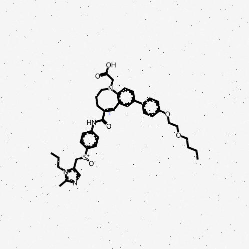 CCCCOCCOc1ccc(-c2ccc3c(c2)/C=C(/C(=O)Nc2ccc([S+]([O-])Cc4cnc(C)n4CCC)cc2)CCCN3CC(=O)O)cc1